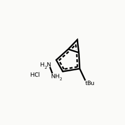 CC(C)(C)c1ccc2cc1-2.Cl.NN